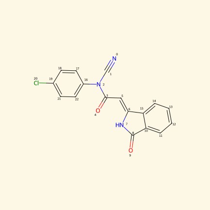 N#CN(C(=O)C=C1NC(=O)c2ccccc21)c1ccc(Cl)cc1